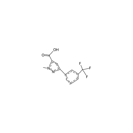 Cn1nc(-c2cccc(C(F)(F)F)c2)cc1C(=O)O